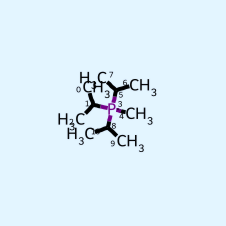 CC(C)[P](C)(C(C)C)C(C)C